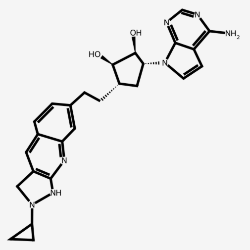 Nc1ncnc2c1ccn2[C@@H]1C[C@H](CCc2ccc3cc4c(nc3c2)NN(C2CC2)C4)[C@@H](O)[C@H]1O